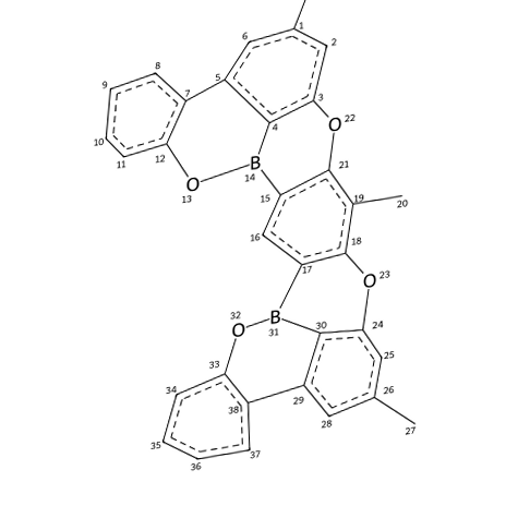 Cc1cc2c3c(c1)-c1ccccc1OB3c1cc3c(c(C)c1O2)Oc1cc(C)cc2c1B3Oc1ccccc1-2